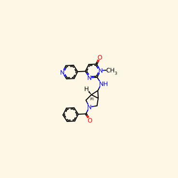 Cn1c(NC2C3CN(C(=O)c4ccccc4)C[C@@H]32)nc(-c2ccncc2)cc1=O